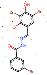 O=C(NN=Cc1cc(Br)c(O)c(Br)c1O)c1cccc(Br)c1